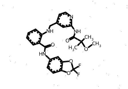 COC(C)(C)C(=O)Nc1cc(CNc2ccccc2C(=O)Nc2ccc3c(c2)OC(F)(F)O3)ccn1